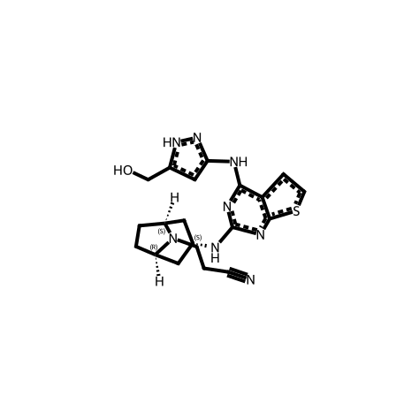 N#CCCN1[C@@H]2CC[C@H]1C[C@H](Nc1nc(Nc3cc(CO)[nH]n3)c3ccsc3n1)C2